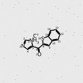 Cn1cncc1C(=O)c1cc2ccccc2s1